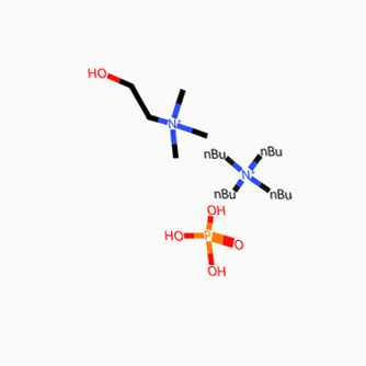 CCCC[N+](CCCC)(CCCC)CCCC.C[N+](C)(C)CCO.O=P(O)(O)O